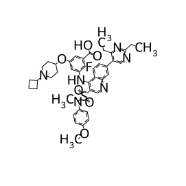 CCc1ncc(-c2cc(F)c3c(Nc4cc(OC5CCN(C6CCC6)CC5)cc(C(=O)O)c4)c(S(=O)(=O)N(C)c4ccc(OC)cc4)cnc3c2)c(CC)n1